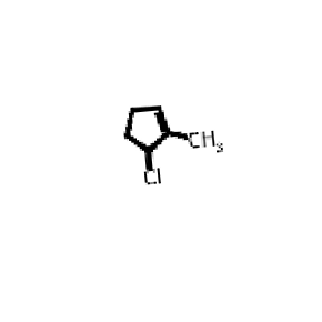 CC1=CCCC1Cl